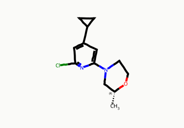 C[C@@H]1CN(c2cc(C3CC3)cc(Cl)n2)CCO1